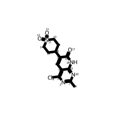 Cc1nc(Cl)c2cc(C3CCS(=O)(=O)CC3)c(=O)[nH]c2n1